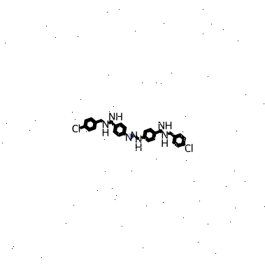 N=C(NCc1ccc(Cl)cc1)c1ccc(/N=N/Nc2ccc(C(=N)NCc3ccc(Cl)cc3)cc2)cc1